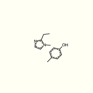 CCc1nccn1C.Cc1ccc(O)cc1